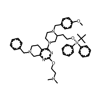 COc1ccc(CN2CCN(c3nc(OCCN(C)C)nc4c3CCN(Cc3ccccc3)C4)CC2CCO[Si](c2ccccc2)(c2ccccc2)C(C)(C)C)cc1